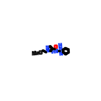 COCCn1cc(C(=O)Nc2nc3ccccc3[nH]2)cn1